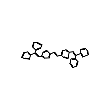 C(=Cc1ccc(C=C(c2ccccc2)c2ccccc2)cc1)c1ccc(C=C(c2ccccc2)c2ccccc2)cc1